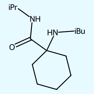 CCC(C)NC1(C(=O)NC(C)C)CCCCC1